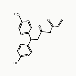 C=CC(=O)CC(=O)CC(c1ccc(O)cc1)c1ccc(O)cc1